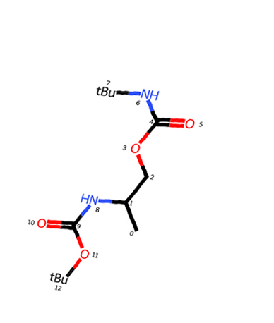 CC(COC(=O)NC(C)(C)C)NC(=O)OC(C)(C)C